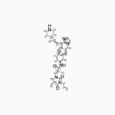 C=CCN(C=O)C(=O)N(/C=C(\C)C(=O)Nc1ccc(Oc2ccnc(N)c2C#CCC2CCNCC2)c(F)c1)CC=C